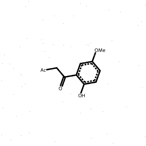 COc1ccc(O)c(C(=O)CC(C)=O)c1